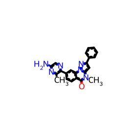 Cc1nc(N)cnc1-c1ccc2c(=O)n(C)c3cc(-c4ccccc4)nn3c2c1